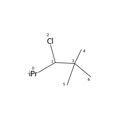 C[C](C)C(Cl)C(C)(C)C